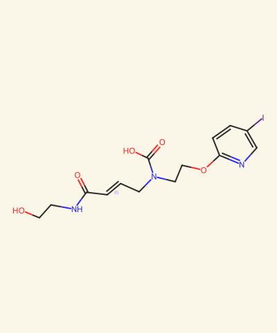 O=C(/C=C/CN(CCOc1ccc(I)cn1)C(=O)O)NCCO